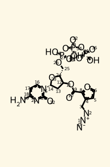 [N-]=[N+]=NCc1ccoc1C(=O)OC1C[C@H](n2ccc(N)nc2=O)O[C@@H]1COP(=O)(O)OP(=O)(O)OP(=O)(O)O